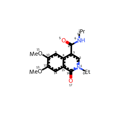 CCn1cc(C(=O)NC(C)C)c2cc(OC)c(OC)cc2c1=O